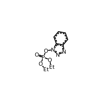 CCOP(=O)(OCC)On1nnc2ccccc21